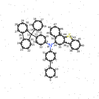 c1ccc(-c2ccc(N(c3ccc(C4(c5ccccc5)c5ccccc5-c5ccccc54)cc3)c3cc4c5ccccc5sc4c4ccccc34)cc2)cc1